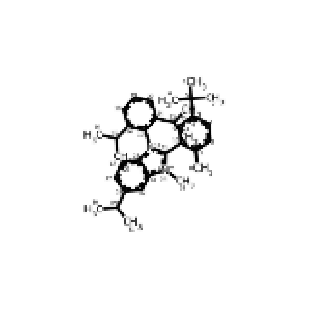 Cc1ccc(C(C)(C)C)cc1-c1n(-c2c(C(C)C)cccc2C(C)C)c2ccc(C(C)C)cc2[n+]1C